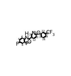 O=C(Nc1ccc(F)cc1F)c1ccc(Oc2cccc(C(F)(F)F)c2)nc1